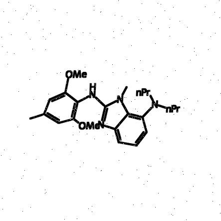 CCCN(CCC)c1cccc2nc(Nc3c(OC)cc(C)cc3OC)n(C)c12